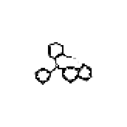 CC1=C(N(c2ccccc2)c2ccc3ccccc3c2)C=CCC1